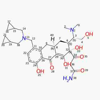 CN(C)[C@H](CO)[C@@H]1C[C@@H]2Cc3c(CN(CC4CC4)CC4CC4)ccc(O)c3C(=O)C2=C(O)[C@]1(O)C(=O)CC(N)=O